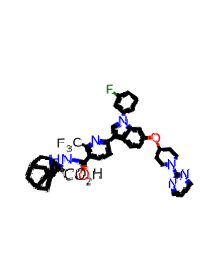 O=C(NC1(C(=O)O)C2CC3CC(C2)CC1C3)c1ccc(-c2cn(-c3cccc(F)c3)c3cc(OC4CCN(c5ncccn5)CC4)ccc23)nc1C(F)(F)F